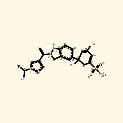 C=C(c1cnn(C(F)F)c1)N1Cc2cc(C3(F)C=C(F)C=C(S(N)(=O)=O)C3)ccc2N1